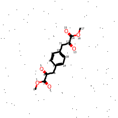 COC(=O)C(=O)Cc1ccc(CC(=O)C(=O)OC)cc1